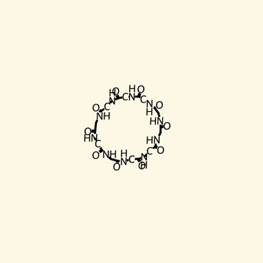 O=C1CNC(=O)CNC(=O)CNC(=O)CNC(=O)CNC(=O)CNC(=O)CNC(=O)CNC(=O)CNC(=O)CN1